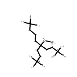 FC(F)(F)CCCC(CCC(F)(F)F)(CCC(F)(F)F)O[SiH3]